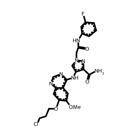 COc1cc2c(Nc3cn(CC(=O)Nc4cccc(F)c4)nc3C(N)=O)ncnc2cc1OCCCCl